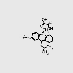 COc1ccc(OC)c(C(CN(C)C)=C2SCCCS2)c1.O=C(O)C(=O)O